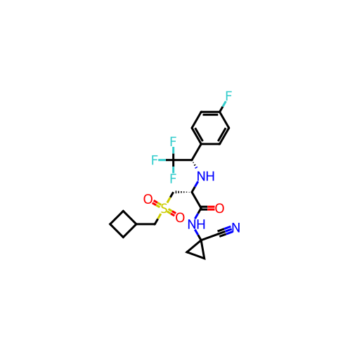 N#CC1(NC(=O)[C@H](CS(=O)(=O)CC2CCC2)N[C@@H](c2ccc(F)cc2)C(F)(F)F)CC1